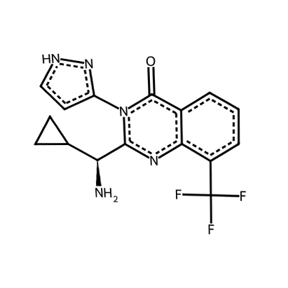 N[C@H](c1nc2c(C(F)(F)F)cccc2c(=O)n1-c1cc[nH]n1)C1CC1